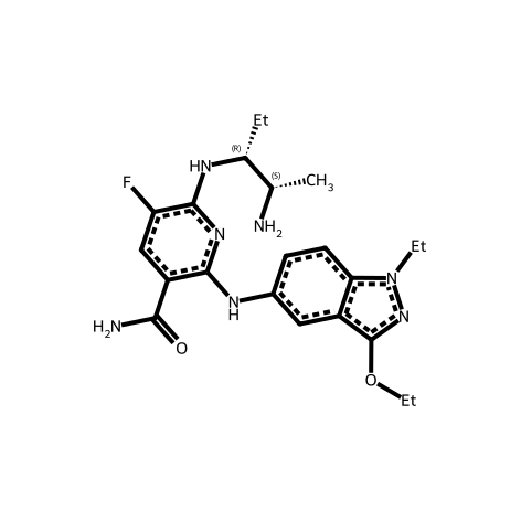 CCOc1nn(CC)c2ccc(Nc3nc(N[C@H](CC)[C@H](C)N)c(F)cc3C(N)=O)cc12